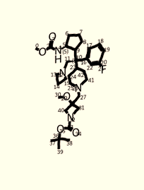 COC(=O)N[C@H]1CCCC1[C@](CN1CCC1)(c1cccc(F)c1)C1CCN(CC2(OC)CN(C(=O)OC(C)(C)C)C2)CC1